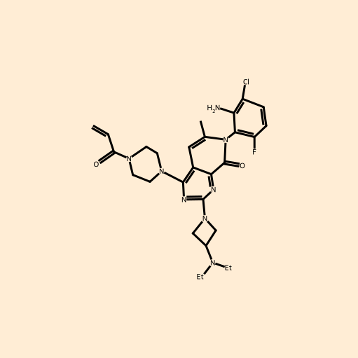 C=CC(=O)N1CCN(c2nc(N3CC(N(CC)CC)C3)nc3c(=O)n(-c4c(F)ccc(Cl)c4N)c(C)cc23)CC1